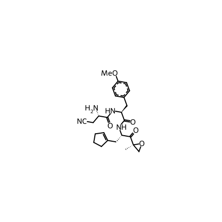 COc1ccc(C[C@H](NC(=O)[C@@H](N)CC#N)C(=O)N[C@@H](CC2=CCCC2)C(=O)[C@]2(C)CO2)cc1